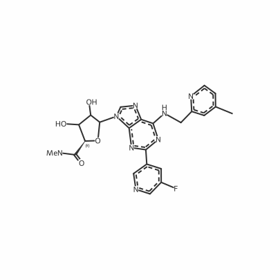 CNC(=O)[C@@H]1OC(n2cnc3c(NCc4cc(C)ccn4)nc(-c4cncc(F)c4)nc32)C(O)C1O